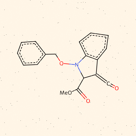 COC(=O)C1C(=C=O)c2ccccc2N1OCc1ccccc1